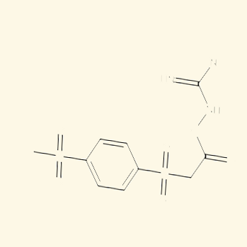 CS(=O)(=O)c1ccc(S(=O)(=O)CC(=O)ONC(=N)N)cc1